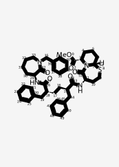 COC(=O)[C@@H]1CCC[C@@H]2SCC[C@H](NC(=O)[C@H](CC[C@H](Cc3ccccc3)C(=O)N[C@H]3CCCCN(Cc4ccccc4)C3=O)Cc3ccccc3)C(=O)N21